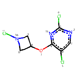 Clc1ncc(Cl)c(OC2CN(Cl)C2)n1